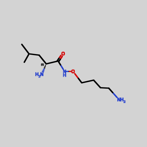 CC(C)C[C@@H](N)C(=O)NOCCCCN